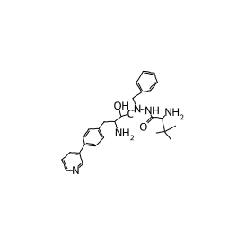 CC(C)(C)C(N)C(=O)NN(Cc1ccccc1)CC(O)C(N)Cc1ccc(-c2cccnc2)cc1